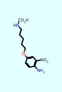 Nc1ccc(OCCCCCNC(=O)O)cc1[N+](=O)[O-]